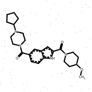 COC1CCN(C(=O)c2cc3cc(C(=O)N4CCN(C5CCCC5)CC4)ccc3[nH]2)CC1